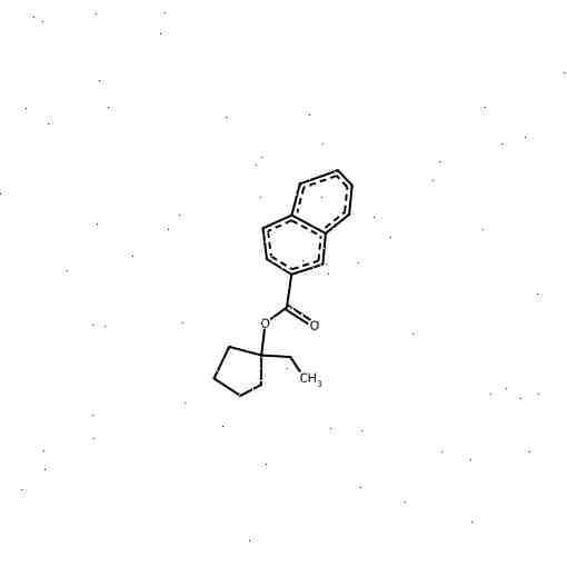 CCC1(OC(=O)c2[c]c3ccccc3cc2)CCCC1